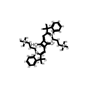 CC1(C)C(/C=C2\C(=O)C(/C=C3\N(CCC[N+](C)(C)C)c4ccccc4C3(C)C)=C2O)=[N+](CCC[N+](C)(C)C)c2ccccc21